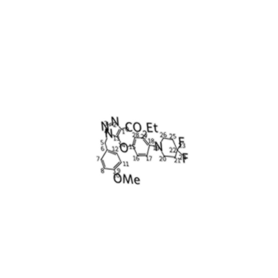 CCOC(=O)c1nnn(Cc2ccc(OC)cc2)c1Oc1ccc(N2CCC(F)(F)CC2)cc1